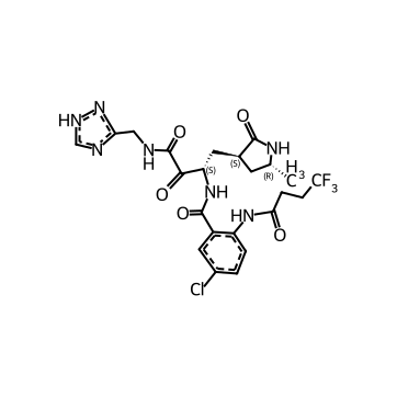 C[C@@H]1C[C@@H](C[C@H](NC(=O)c2cc(Cl)ccc2NC(=O)CCC(F)(F)F)C(=O)C(=O)NCc2nc[nH]n2)C(=O)N1